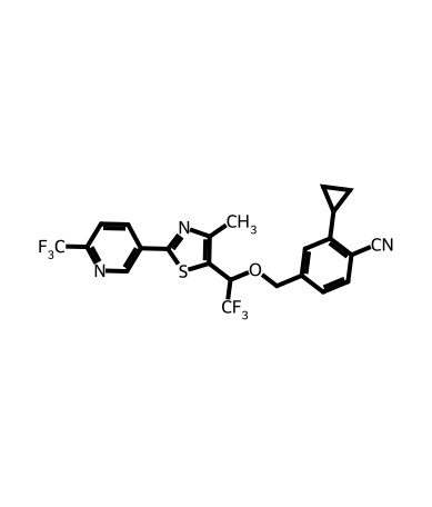 Cc1nc(-c2ccc(C(F)(F)F)nc2)sc1C(OCc1ccc(C#N)c(C2CC2)c1)C(F)(F)F